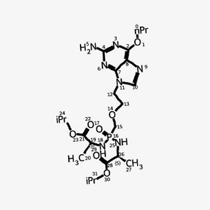 CCCOc1nc(N)nc2c1ncn2CCOCP(=O)(N[C@@H](C)C(=O)OC(C)C)N[C@@H](C)C(=O)OC(C)C